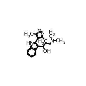 Cc1noc(C)c1-c1[nH]c2ccccc2c1C(O)CCN(C)C